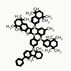 Cc1cc2c3c(c1)N(c1ccc4c(c1)C(C)(C)CCC4(C)C)c1c(sc4cc5c(cc14)C(C)(C)CCC5(C)C)B3c1ccc(N3c4ccc(-c5ccccc5)cc4C4(C)CCCCC34C)cc1N2c1ccc2c(c1)C(C)(C)CCC2(C)C